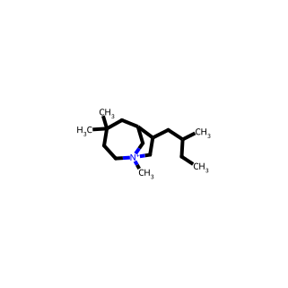 CCC(C)CC1C[N+]2(C)CCC(C)(C)CC1C2